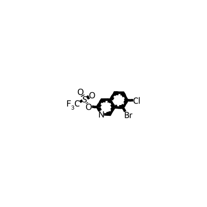 O=S(=O)(Oc1cc2ccc(Cl)c(Br)c2cn1)C(F)(F)F